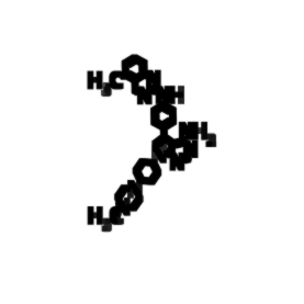 Cc1cccc2nc(Nc3ccc(-c4cn([C@H]5CC[C@@H](N6CCN(C)CC6)CC5)c5ncnc(N)c45)cc3)ncc12